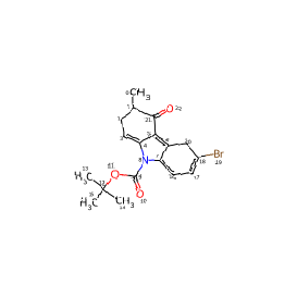 CC1CC=c2c(c3c(n2C(=O)OC(C)(C)C)=CC=C(Br)C3)C1=O